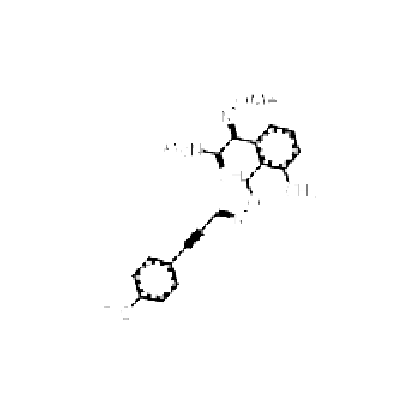 C=C(NC)/C(=N/OC)c1cccc(C)c1CO/N=C/C#Cc1ccc(C(F)(F)F)cc1